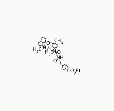 CCOC(=O)c1ccc(/C=C/C(=O)NCC(=O)N(C)c2ccc(C)c(COc3cccc4ccc(C)nc34)c2C)cn1